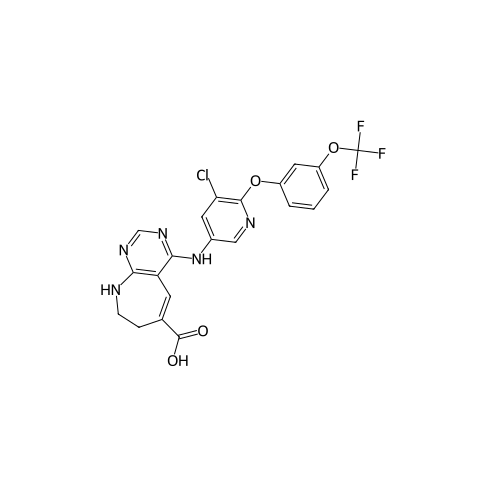 O=C(O)C1=Cc2c(ncnc2Nc2cnc(Oc3cccc(OC(F)(F)F)c3)c(Cl)c2)NCC1